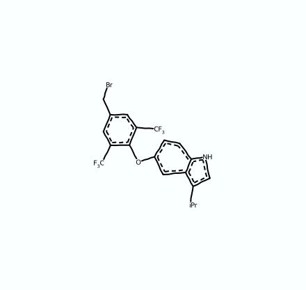 CC(C)c1c[nH]c2ccc(Oc3c(C(F)(F)F)cc(CBr)cc3C(F)(F)F)cc12